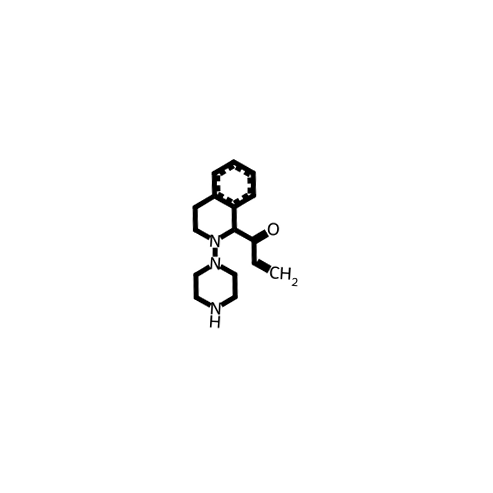 C=CC(=O)C1c2ccccc2CCN1N1CCNCC1